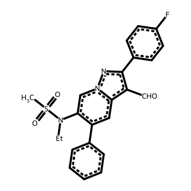 CCN(c1cn2nc(-c3ccc(F)cc3)c(C=O)c2cc1-c1ccccc1)S(C)(=O)=O